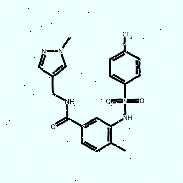 Cc1ccc(C(=O)NCc2cnn(C)c2)cc1NS(=O)(=O)c1ccc(C(F)(F)F)cc1